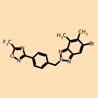 Cc1c(Br)cc2nn(Cc3ccc(-c4noc(C(F)(F)F)n4)cc3)nc2c1C